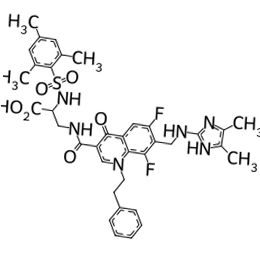 Cc1cc(C)c(S(=O)(=O)NC(CNC(=O)c2cn(CCc3ccccc3)c3c(F)c(CNc4nc(C)c(C)[nH]4)c(F)cc3c2=O)C(=O)O)c(C)c1